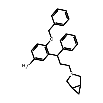 Cc1ccc(OCc2ccccc2)c(C(CCN2CC3CC3C2)c2ccccc2)c1